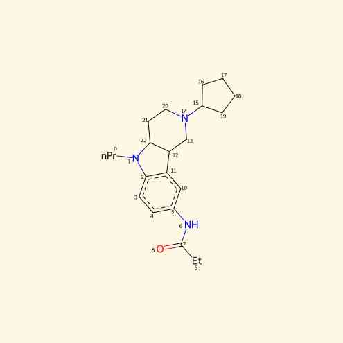 CCCN1c2ccc(NC(=O)CC)cc2C2CN(C3CCCC3)CCC21